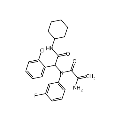 C=C(N)C(=O)N(c1cccc(F)c1)C(C(=O)NC1CCCCC1)c1ccccc1Cl